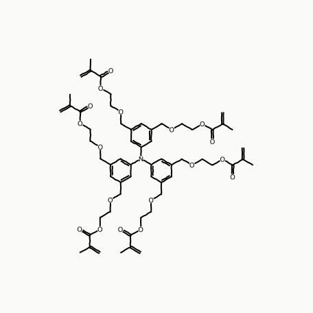 C=C(C)C(=O)OCCOCc1cc(COCCOC(=O)C(=C)C)cc(N(c2cc(COCCOC(=O)C(=C)C)cc(COCCOC(=O)C(=C)C)c2)c2cc(COCCOC(=O)C(=C)C)cc(COCCOC(=O)C(=C)C)c2)c1